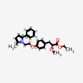 CCOC(=O)C(Cc1ccc(OCCn2c(C)ccc2-c2ccccc2)cc1)OC